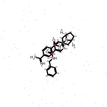 N=C(N)c1ccc(C(=O)N[C@H]2C[C@H]3CC[C@@H](C2)N3c2ccc(C(=O)NCc3ccccc3)cn2)cc1